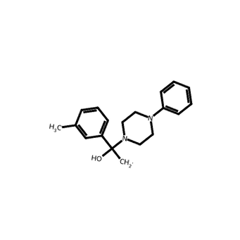 [CH2]C(O)(c1cccc(C)c1)N1CCN(c2ccccc2)CC1